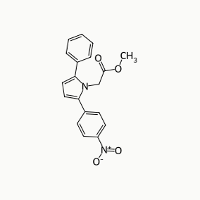 COC(=O)Cn1c(-c2ccccc2)ccc1-c1ccc([N+](=O)[O-])cc1